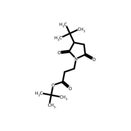 CC(C)(C)OC(=O)CCN1C(=O)CC(C(C)(C)C)C1=O